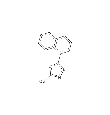 CC(C)(C)c1nnc(-c2cccc3ccccc23)o1